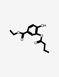 CC[CH]C(=O)Oc1cc(C(=O)OCC)ccc1O